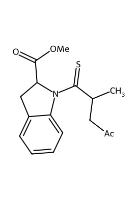 COC(=O)C1Cc2ccccc2N1C(=S)C(C)CC(C)=O